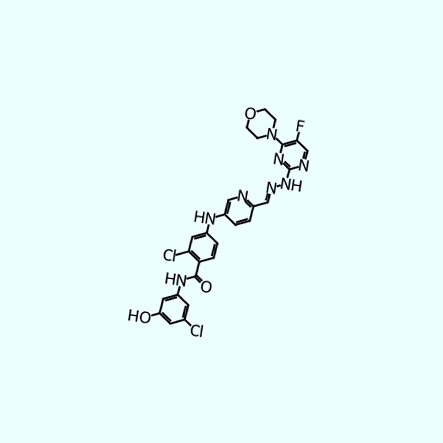 O=C(Nc1cc(O)cc(Cl)c1)c1ccc(Nc2ccc(/C=N/Nc3ncc(F)c(N4CCOCC4)n3)nc2)cc1Cl